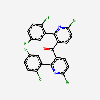 O=C(c1ccc(Br)nc1-c1cc(Br)ccc1Cl)c1ccc(Br)nc1-c1cc(Br)ccc1Cl